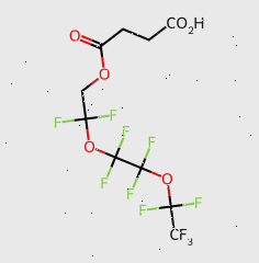 O=C(O)CCC(=O)OCC(F)(F)OC(F)(F)C(F)(F)OC(F)(F)C(F)(F)F